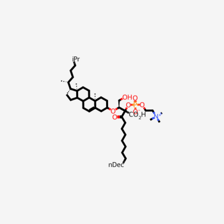 CCCCCCCCCCCCCCCCCC(=O)C(OP(=O)([O-])OCC[N+](C)(C)C)(C(=O)O)[C@H](CO)OC1CC[C@@]2(C)C(=CCC3C2CC[C@@]2(C)C3CC[C@@H]2[C@H](C)CCCC(C)C)C1